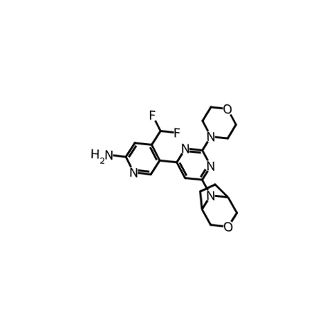 Nc1cc(C(F)F)c(-c2cc(N3C4CCC3COC4)nc(N3CCOCC3)n2)cn1